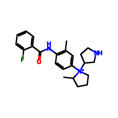 Cc1cc([N+]2(C3CCNC3)CCCC2C)ccc1NC(=O)c1ccccc1F